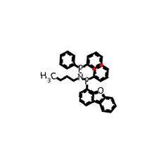 CCCCN(P(c1ccccc1)c1ccccc1)P(c1ccccc1)c1cccc2c1oc1ccccc12